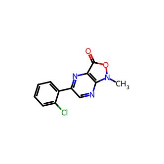 Cn1oc(=O)c2nc(-c3ccccc3Cl)cnc21